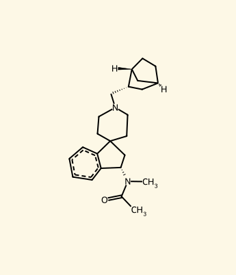 CC(=O)N(C)[C@H]1CC2(CCN(C[C@H]3C[C@@H]4CC[C@@H]3C4)CC2)c2ccccc21